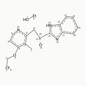 CCO.Cc1c(OCC(F)(F)F)ccnc1C[S@@+]([O-])c1nc2ccccc2[nH]1